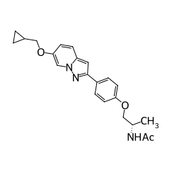 CC(=O)N[C@@H](C)COc1ccc(-c2cc3ccc(OCC4CC4)cn3n2)cc1